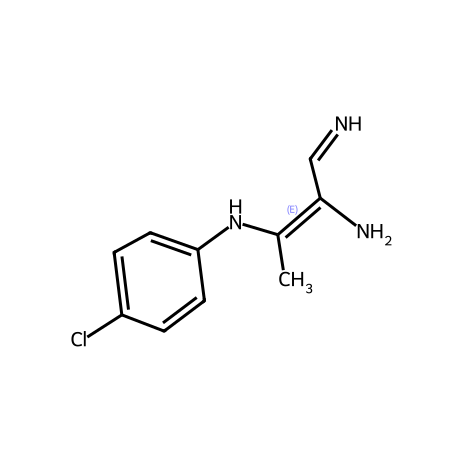 C/C(Nc1ccc(Cl)cc1)=C(\N)C=N